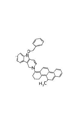 CC1C=c2ccccc2=c2ccc3c(c21)CCCC=3N1C=Cc2c(c3cc[c]cc3n2OCc2ccccc2)C1